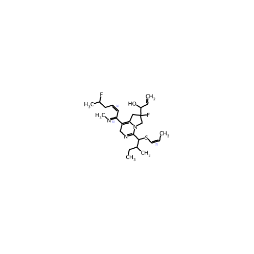 C=CC(O)C1(F)CC2=C(C(/C=C\CC(C)F)=N/C)CN=C(C(S/C=C\C)C(C)CC)N2C1